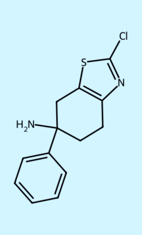 NC1(c2ccccc2)CCc2nc(Cl)sc2C1